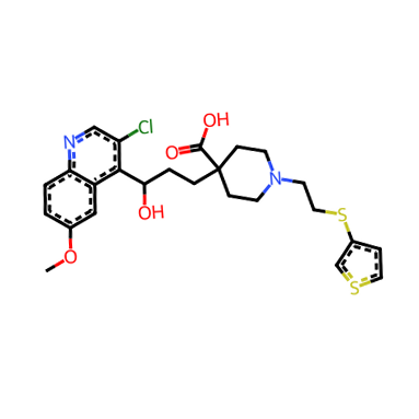 COc1ccc2ncc(Cl)c(C(O)CCC3(C(=O)O)CCN(CCSc4ccsc4)CC3)c2c1